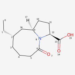 CC[C@H]1CCCC(=O)N2[C@H](CC[C@H]2C(=O)O)C1